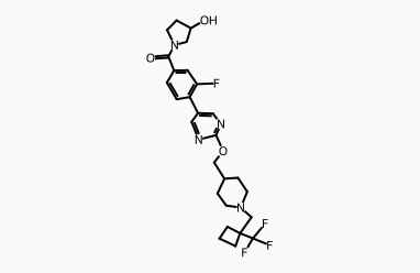 O=C(c1ccc(-c2cnc(OCC3CCN(CC4(C(F)(F)F)CCC4)CC3)nc2)c(F)c1)N1CCC(O)C1